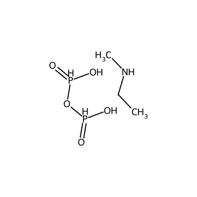 CCNC.O=[PH](O)O[PH](=O)O